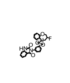 O=c1[nH]c2ccccc2c(=O)n1-c1cccc(S(=O)(=O)N2CC(F)COc3ccccc32)c1